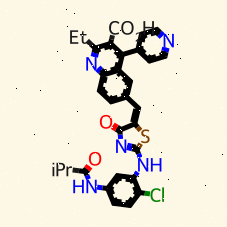 CCc1nc2ccc(C=C3SC(Nc4cc(NC(=O)C(C)C)ccc4Cl)=NC3=O)cc2c(-c2ccncc2)c1C(=O)O